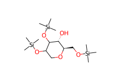 C[Si](C)(C)OC[C@H]1OCC(O[Si](C)(C)C)C(O[Si](C)(C)C)[C@@H]1O